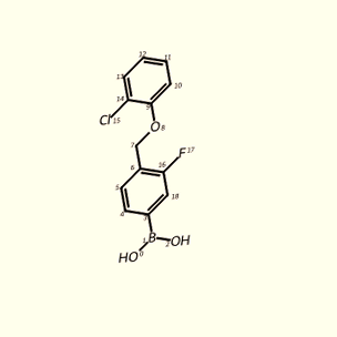 OB(O)c1ccc(COc2ccccc2Cl)c(F)c1